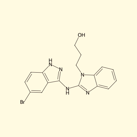 OCCCn1c(Nc2n[nH]c3ccc(Br)cc23)nc2ccccc21